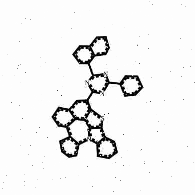 c1ccc(-c2nc(-c3cccc4ccccc34)nc(-c3cc4cccc5c6ccccc6n6c7ccccc7c7sc3c(c45)c76)n2)cc1